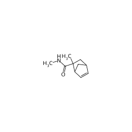 CNC(=O)C1(C)CC2C=CC1C2